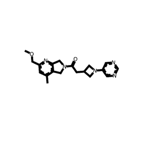 COCc1cc(C)c2c(n1)CN(C(=O)CC1CN(c3cncnc3)C1)C2